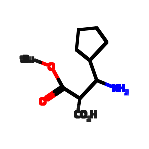 CC(C)(C)OC(=O)C(C(=O)O)C(N)C1CCCC1